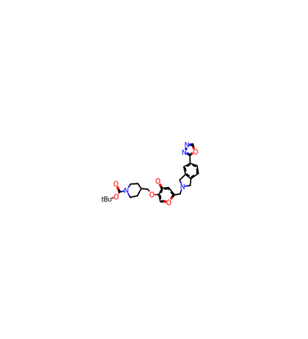 CC(C)(C)OC(=O)N1CCC(COc2coc(CN3Cc4ccc(-c5nnco5)cc4C3)cc2=O)CC1